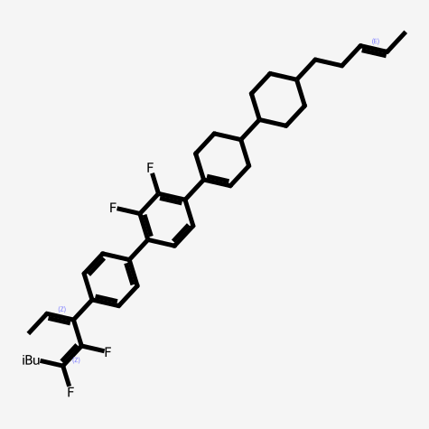 C/C=C(\C(F)=C(\F)C(C)CC)c1ccc(-c2ccc(C3=CCC(C4CCC(CC/C=C/C)CC4)CC3)c(F)c2F)cc1